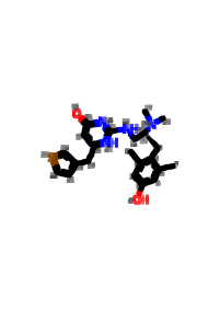 Cc1cc(O)cc(C)c1C[C@@H](CNc1nc(=O)cc(Cc2ccsc2)[nH]1)N(C)C